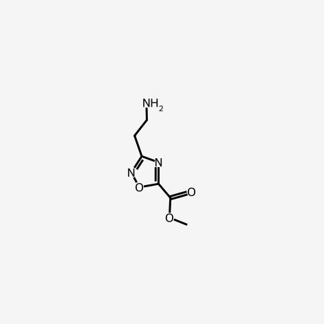 COC(=O)c1nc(CCN)no1